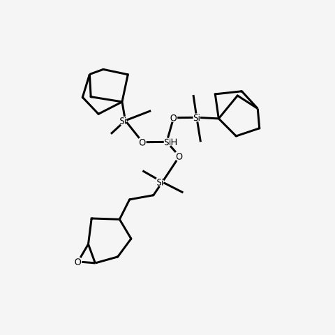 C[Si](C)(CCC1CCC2OC2C1)O[SiH](O[Si](C)(C)C12CCC(CC1)C2)O[Si](C)(C)C12CCC(CC1)C2